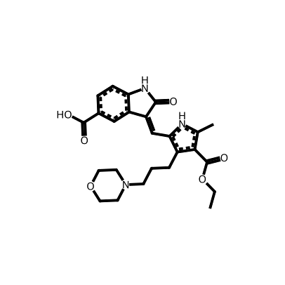 CCOC(=O)c1c(C)[nH]c(C=C2C(=O)Nc3ccc(C(=O)O)cc32)c1CCCN1CCOCC1